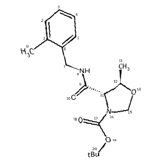 Cc1ccccc1CNC(=O)[C@@H]1[C@@H](C)OCN1C(=O)OC(C)(C)C